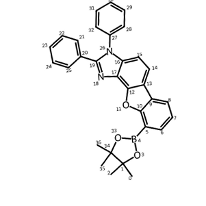 CC1(C)OB(c2cccc3c2oc2c3ccc3c2nc(-c2ccccc2)n3-c2ccccc2)OC1(C)C